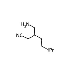 CC(C)CCC(CN)CC#N